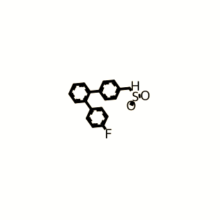 O=[SH](=O)Cc1ccc(-c2ccccc2-c2ccc(F)cc2)cc1